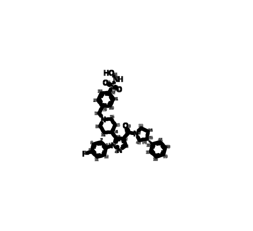 O=C(c1cnn(-c2ccc(F)cc2)c1C1CCN(Cc2ccc(S(=O)(=O)NO)cc2)CC1)N1CC[C@H](c2ccccc2)C1